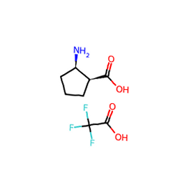 N[C@@H]1CCC[C@@H]1C(=O)O.O=C(O)C(F)(F)F